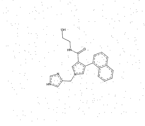 O=C(NCCO)c1cn(Cc2c[nH]cn2)cc1-c1cccc2ccccc12